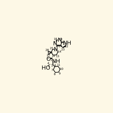 O=C(N[C@@H](CO)C1CCCCC1)[C@H]1CCN(c2ncnc3[nH]ccc23)CC12CC2